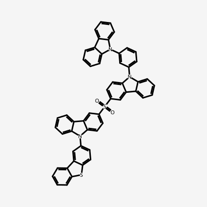 O=S(=O)(c1ccc2c(c1)c1ccccc1n2-c1cccc(-n2c3ccccc3c3ccccc32)c1)c1ccc2c(c1)c1ccccc1n2-c1ccc2sc3ccccc3c2c1